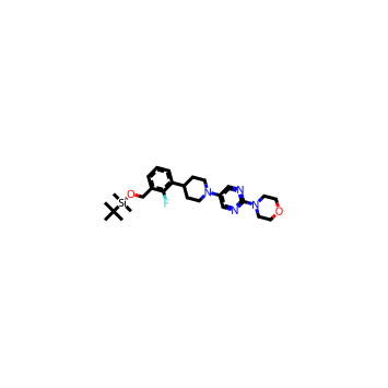 CC(C)(C)[Si](C)(C)OCc1cccc(C2CCN(c3cnc(N4CCOCC4)nc3)CC2)c1F